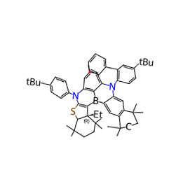 CC[C@]12C3=C(SC1C(C)(C)CCC2(C)C)N(c1ccc(C(C)(C)C)cc1)c1cc(C)cc2c1B3c1cc3c(cc1N2c1ccc(C(C)(C)C)cc1-c1ccccc1)C(C)(C)CCC3(C)C